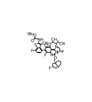 CC1Oc2c(Cl)c(-c3ccc(F)c4sc(NC(=O)OC(C)(C)C)c(C#N)c34)c(F)c3nc(OC[C@@]45CCCN4C[C@H](F)C5)nc(c23)N(CC(F)F)C1CC#N